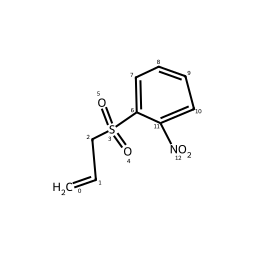 C=CCS(=O)(=O)c1ccccc1[N+](=O)[O-]